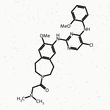 COc1cc2c(cc1Nc1ncc(Cl)c(Nc3ccccc3OC)n1)CCN(C(=O)CN(C)C)CC2